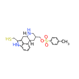 Cc1ccc(S(=O)(=O)OCC2CN[C@@H]3Cc4c(CS)[nH]c5cccc(c45)[C@H]3C2)cc1